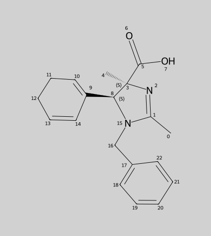 CC1=N[C@](C)(C(=O)O)[C@H](C2=CCCC=C2)N1Cc1ccccc1